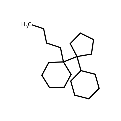 CCCCC1(C2(C3CCCCC3)CCCC2)CCCCC1